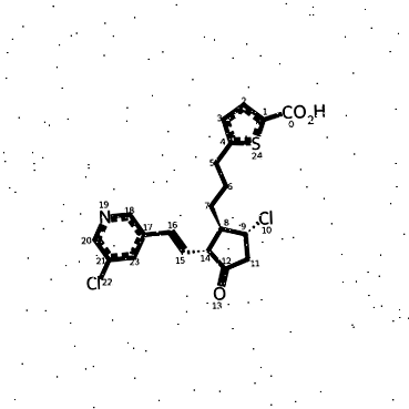 O=C(O)c1ccc(CCC[C@H]2[C@H](Cl)CC(=O)[C@@H]2/C=C/c2cncc(Cl)c2)s1